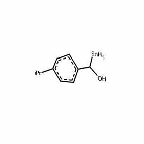 CC(C)c1ccc([CH](O)[SnH3])cc1